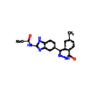 COC(=O)Nc1nc2cc(-c3n[nH]c(=O)c4ccc(C)cc34)ccc2[nH]1